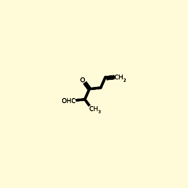 C=CCC(=O)C(C)C=O